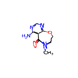 CN1CCOc2ncnc(N)c2C1=O